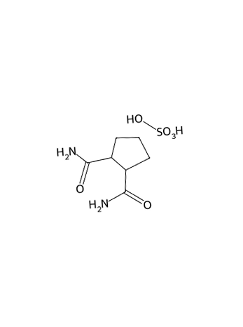 NC(=O)C1CCCC1C(N)=O.O=S(=O)(O)O